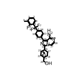 Cc1cccc(C(F)(F)c2ccc(-c3nc(C45CCC(CO)(CC4)OC5)n4ccnc(N)c34)cc2)c1F